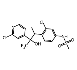 CC(c1ccc(NS(C)(=O)=O)cc1Cl)C(O)(c1ccnc(Cl)c1)C(F)(F)F